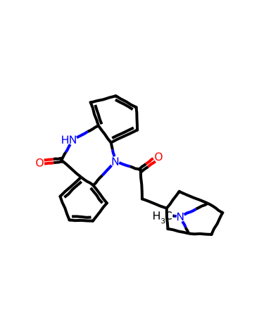 CN1C2CCC1CC(CC(=O)N1c3ccccc3NC(=O)c3ccccc31)C2